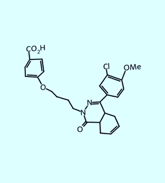 COc1ccc(C2=NN(CCCCOc3ccc(C(=O)O)cc3)C(=O)C3CC=CCC23)cc1Cl